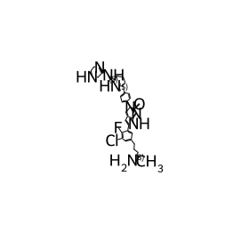 C[C@H](N)CCCc1cc(Cl)c(F)c(-c2cc3cn(-c4ccc([C@@H]5CCC[C@@H](CNC6=NCCNC6)N5)cc4)c(=O)nc3[nH]2)c1